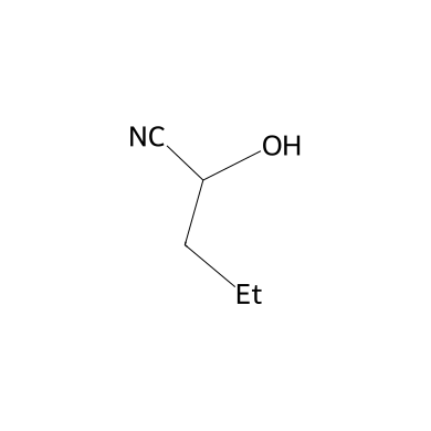 CCCC(O)C#N